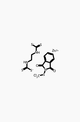 O=C1c2ccccc2C(=O)N1SC(Cl)(Cl)Cl.S=C([S-])NCCNC(=S)[S-].[Zn+2]